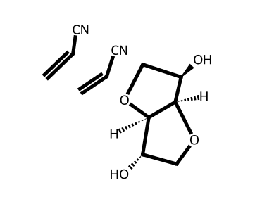 C=CC#N.C=CC#N.O[C@@H]1CO[C@H]2[C@@H]1OC[C@@H]2O